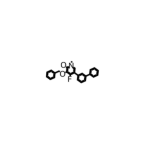 Cn1cc(-c2cccc(-c3ccccc3)c2)c(F)c(OCc2ccccc2)c1=O